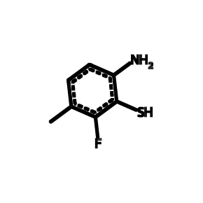 Cc1ccc(N)c(S)c1F